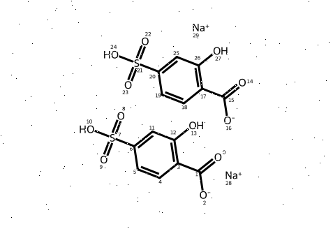 O=C([O-])c1ccc(S(=O)(=O)O)cc1O.O=C([O-])c1ccc(S(=O)(=O)O)cc1O.[Na+].[Na+]